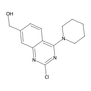 OCc1ccc2c(N3CCCCC3)nc(Cl)nc2c1